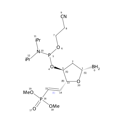 B[C@H]1C[C@H](OP(OCCC#N)N(C(C)C)C(C)C)[C@@H](/C=C/P(=O)(OC)OC)O1